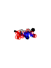 C#CCOC(=O)OC(C)(COS(C)(=O)=O)C(=O)[C@H](CCC(C)C)NC(=O)[C@H](Cc1ccccc1)NC(=O)[C@H](CC(C)C)NC(=O)[C@H](CCc1ccccc1)NC(=O)CN1CCOCC1